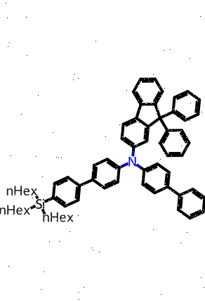 CCCCCC[Si](CCCCCC)(CCCCCC)c1ccc(-c2ccc(N(c3ccc(-c4ccccc4)cc3)c3ccc4c(c3)C(c3ccccc3)(c3ccccc3)c3ccccc3-4)cc2)cc1